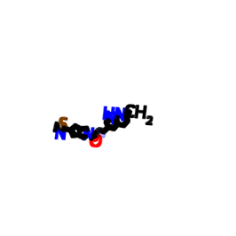 C=C1CCc2cc(/C=C/C(=O)N3CC4C=C(c5nccs5)CC4C3)cnc2N1